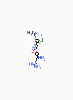 C[C@H](N)CCCc1cc(Cl)c(F)c(-c2cc3cn(-c4ccc([C@@H](N)CCCNC(=N)N)cc4)c(=O)nc3[nH]2)c1